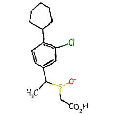 CC(c1ccc(C2CCCCC2)c(Cl)c1)[S+]([O-])CC(=O)O